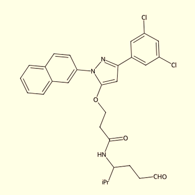 CC(C)C(CCC=O)NC(=O)CCOc1cc(-c2cc(Cl)cc(Cl)c2)nn1-c1ccc2ccccc2c1